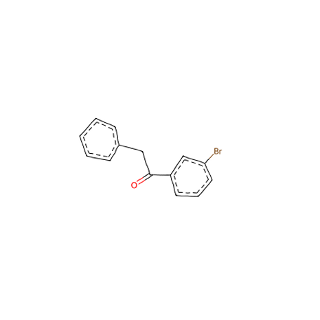 O=C(Cc1ccccc1)c1cccc(Br)c1